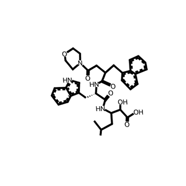 CC(C)CC(NC(=O)[C@H](Cc1c[nH]c2ccccc12)NC(=O)C(CC(=O)N1CCOCC1)Cc1cccc2ccccc12)C(O)C(=O)O